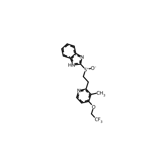 Cc1c(OCC(F)(F)F)ccnc1CC[S+]([O-])c1nc2ccccc2[nH]1